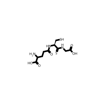 NC(CCC(=O)N[C@@H](CS)C(=S)NCC(=O)O)C(=O)O